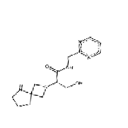 O=C(NCc1ncccn1)[C@H](CO)N1CC2(CCCN2)C1